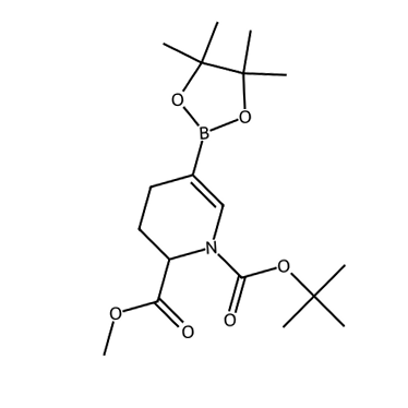 COC(=O)C1CCC(B2OC(C)(C)C(C)(C)O2)=CN1C(=O)OC(C)(C)C